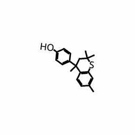 Cc1ccc2c(c1)SC(C)(C)CC2(C)c1ccc(O)cc1